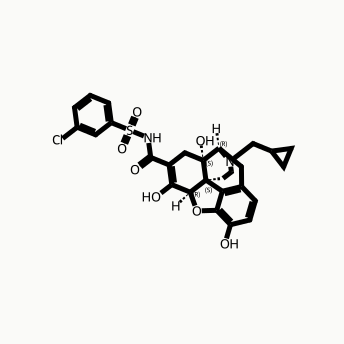 O=C(NS(=O)(=O)c1cccc(Cl)c1)C1=C(O)[C@@H]2Oc3c(O)ccc4c3[C@@]23CCN(CC2CC2)[C@H](C4)[C@]3(O)C1